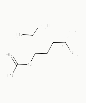 N=C(N)NCCC[C@@H](N)C(=O)O.NCC(=O)O